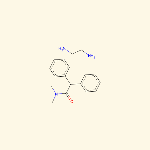 CN(C)C(=O)C(c1ccccc1)c1ccccc1.NCCN